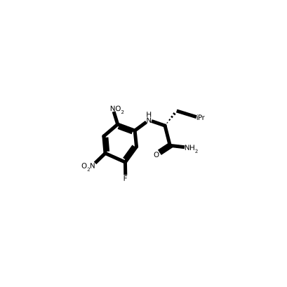 CC(C)C[C@@H](Nc1cc(F)c([N+](=O)[O-])cc1[N+](=O)[O-])C(N)=O